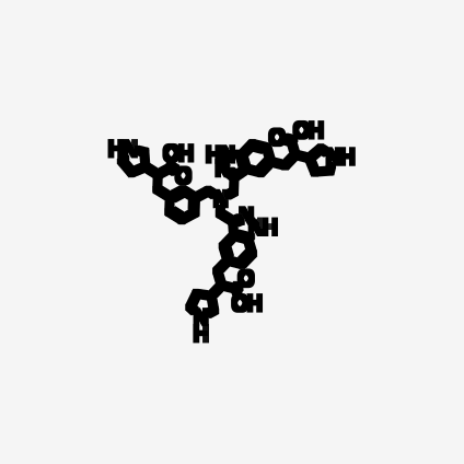 O=C(O)C(Cc1cccc(CN(Cc2n[nH]c3ccc(CC(C(=O)O)C4CCNC4)cc23)Cc2n[nH]c3ccc(CC(C(=O)O)C4CCNC4)cc23)c1)C1CCNC1